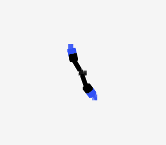 N#[C][Au][C]#N